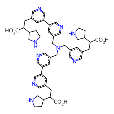 O=C(O)C(Cc1cncc(CN(Cc2cncc(-c3cncc(CC(C(=O)O)C4CCNC4)c3)c2)Cc2cncc(-c3cncc(CC(C(=O)O)C4CCNC4)c3)c2)c1)C1CCNC1